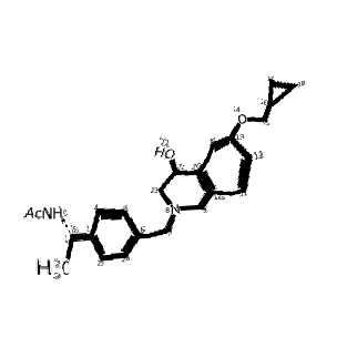 CC(=O)N[C@@H](C)c1ccc(CN2Cc3ccc(OCC4CC4)cc3C(O)C2)cc1